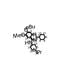 CCCCOc1cc2nc(C3CCCCC3)nc(NC3CCN(C(C)C)CC3)c2cc1OC